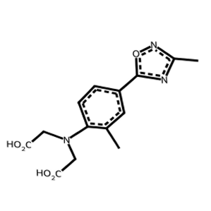 Cc1noc(-c2ccc(N(CC(=O)O)CC(=O)O)c(C)c2)n1